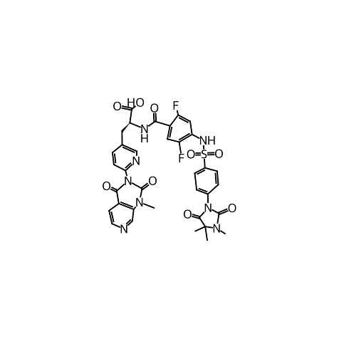 CN1C(=O)N(c2ccc(S(=O)(=O)Nc3cc(F)c(C(=O)N[C@@H](Cc4ccc(-n5c(=O)c6ccncc6n(C)c5=O)nc4)C(=O)O)cc3F)cc2)C(=O)C1(C)C